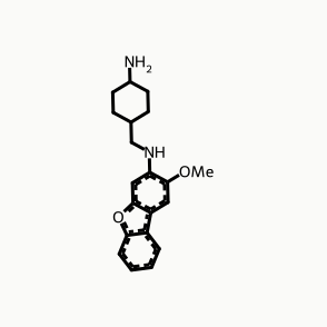 COc1cc2c(cc1NCC1CCC(N)CC1)oc1ccccc12